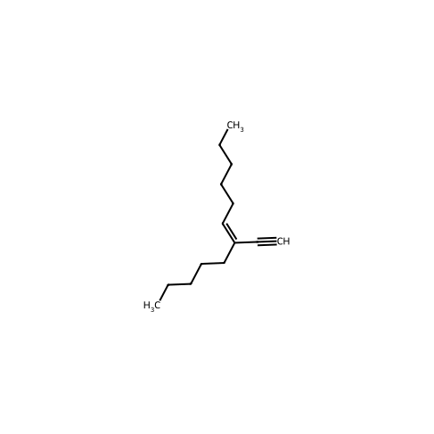 C#CC(=CCCCCC)CCCCC